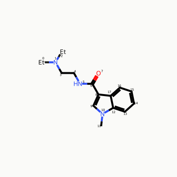 CCN(CC)CCNC(=O)c1cn(C)c2ccccc12